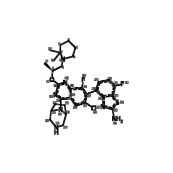 C[C@@H](CN1CCCCC1(C)C)Oc1nc(N2C3CCC2CNC3)c2cc(Cl)c(-c3ccc(F)c4sc(N)nc34)c(F)c2n1